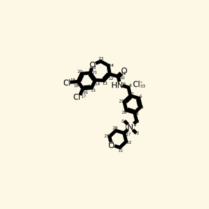 C[N+](C)(Cc1ccc(CNC(=O)C2=Cc3cc(Cl)c(Cl)cc3OCC2)cc1)C1CCOCC1.[Cl-]